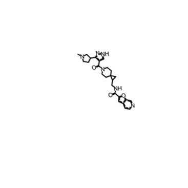 CN1CCC(c2n[nH]cc2C(=O)N2CCC3(CC2)CC3CNC(=O)c2cc3ccncc3o2)C1